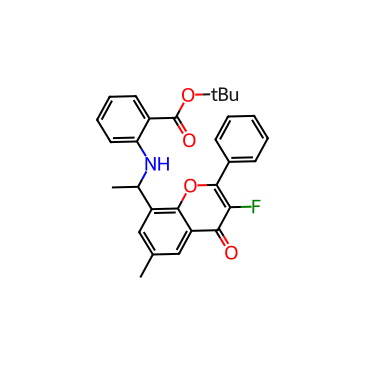 Cc1cc(C(C)Nc2ccccc2C(=O)OC(C)(C)C)c2oc(-c3ccccc3)c(F)c(=O)c2c1